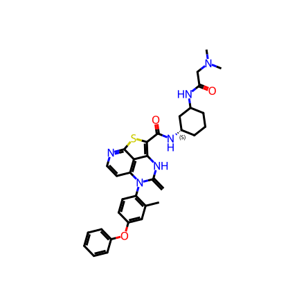 C=c1[nH]c2c(C(=O)N[C@H]3CCCC(NC(=O)CN(C)C)C3)sc3nccc(c32)n1-c1ccc(Oc2ccccc2)cc1C